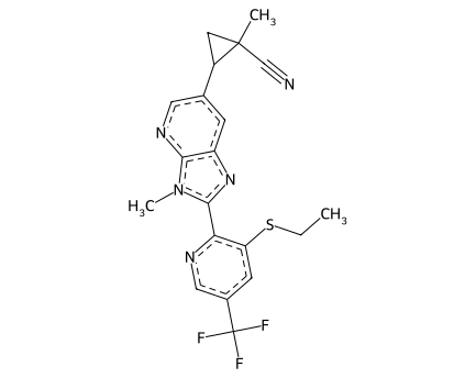 CCSc1cc(C(F)(F)F)cnc1-c1nc2cc(C3CC3(C)C#N)cnc2n1C